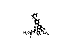 CC(=O)N1c2ccc(-c3ccc(N4CCCCC4)nc3)cc2[C@@H](NC(=O)OC(C)C)C[C@H]1C